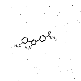 Cc1cccc(-c2cn(-c3ccc(C(N)=O)cc3)cc2N)c1